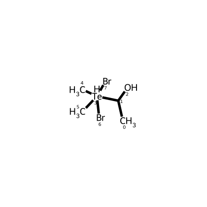 CC(O)[TeH](C)(C)(Br)Br